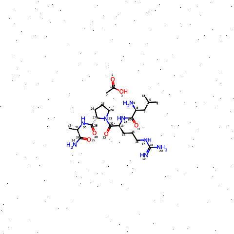 CC(=O)O.CC(C)C[C@H](N)C(=O)N[C@@H](CCCNC(=N)N)C(=O)N1CCC[C@H]1C(=O)N[C@H](C)C(N)=O